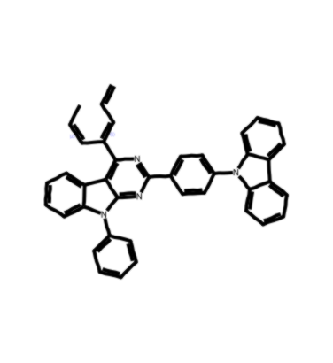 C=C/C=C(\C=C/C)c1nc(-c2ccc(-n3c4ccccc4c4ccccc43)cc2)nc2c1c1ccccc1n2-c1ccccc1